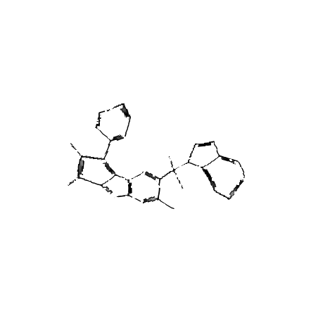 CC1=C(C)C(c2ccccc2)=C2C1=Nc1cc(C)c(C(C)(C)C3C=Cc4ccccc43)cc12